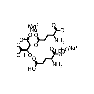 N[C@@H](CCC(=O)O)C(=O)[O-].N[C@@H](CCC(=O)O[C@@H](C(=O)[O-])[C@@H](O)C(=O)[O-])C(=O)[O-].O.O.[Mg+2].[Na+].[Na+]